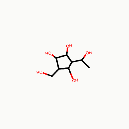 CC(O)C1C(O)C(O)C(CO)C1O